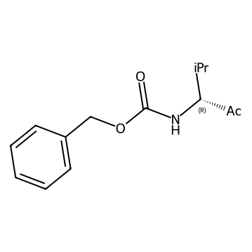 CC(=O)[C@H](NC(=O)OCc1ccccc1)C(C)C